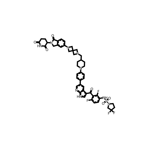 O=C1CCC(N2Cc3cc(N4CC5(CN(CC6CCN(c7ccc(-c8cnc9[nH]cc(C(=O)c%10c(F)ccc(NS(=O)(=O)N%11CCC(F)(F)C%11)c%10F)c9c8)cc7)CC6)C5)C4)ccc3C2=O)C(=O)N1